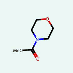 [CH]OC(=O)N1CCOCC1